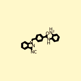 [C-]#[N+]c1nn(Cc2ccc(C(=O)Nc3ccccc3N)cc2)c2ccccc12